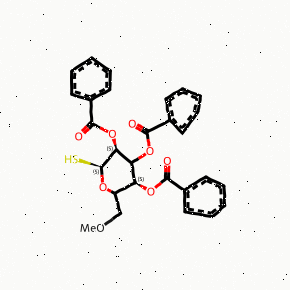 COCC1O[C@@H](S)[C@@H](OC(=O)c2ccccc2)C(OC(=O)c2ccccc2)[C@H]1OC(=O)c1ccccc1